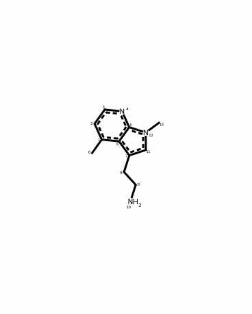 Cc1ccnc2c1c(CCN)cn2C